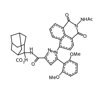 COc1cccc(OC)c1-c1cc(C(=O)NC2(C(=O)O)C3CC4CC(C3)CC2C4)nn1-c1ccc2c3c(cccc13)C(=O)N(NC(C)=O)C2=O